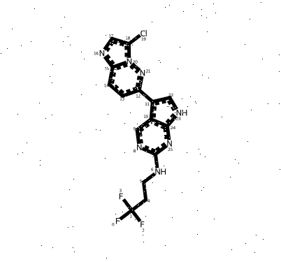 FC(F)(F)CCNc1ncc2c(-c3ccc4ncc(Cl)n4n3)c[nH]c2n1